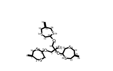 C=C1CSCC(OCC(CC)(COC2CSCC(=C)CS2)OC2CSCC(=C)CS2)SC1